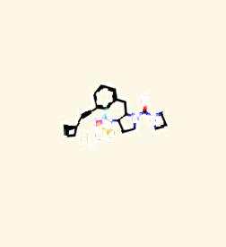 CS(=O)(=O)NC1CCN(C(=O)N2CCC2)C1Cc1cccc(C#CC23CC(C2)C3)c1F